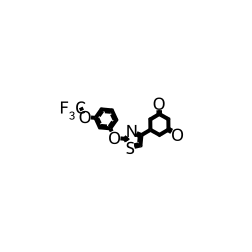 O=C1CC(=O)CC(c2csc(Oc3cccc(OC(F)(F)F)c3)n2)C1